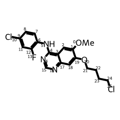 COc1cc2c(Nc3ccc(Cl)cc3F)ncnc2cc1OCCCCCl